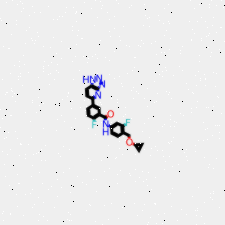 O=C(Nc1ccc(COC2CC2)c(F)c1)c1cc(-c2ccc3[nH]nnc3n2)ccc1F